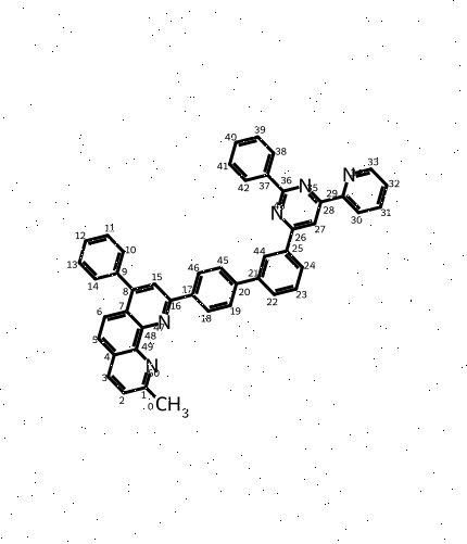 Cc1ccc2ccc3c(-c4ccccc4)cc(-c4ccc(-c5cccc(-c6cc(-c7ccccn7)nc(-c7ccccc7)n6)c5)cc4)nc3c2n1